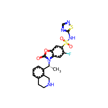 C[C@H](c1cccc2c1CNCC2)n1c(=O)oc2cc(S(=O)(=O)Nc3ncns3)c(F)cc21